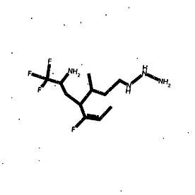 C/C=C(/F)C(CC(N)C(F)(F)F)C(C)CCNNN